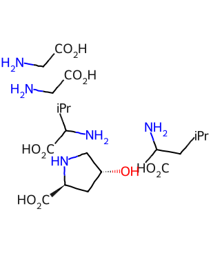 CC(C)C(N)C(=O)O.CC(C)CC(N)C(=O)O.NCC(=O)O.NCC(=O)O.O=C(O)[C@@H]1C[C@@H](O)CN1